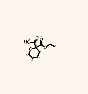 CCOC(=O)C1(C(=O)O)CCCCO1